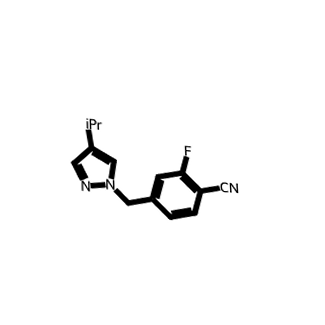 CC(C)c1cnn(Cc2ccc(C#N)c(F)c2)c1